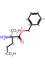 N[C@@](CCC(=O)O)(C(=O)O)C(=O)OCc1ccccc1